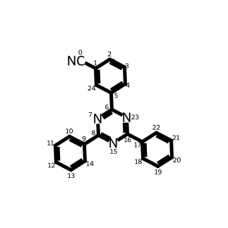 N#Cc1[c]ccc(-c2nc(-c3ccccc3)nc(-c3ccccc3)n2)c1